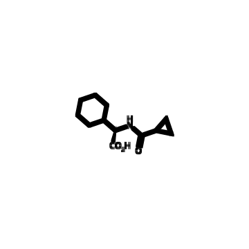 O=C(N[C@@H](C(=O)O)C1CCCCC1)C1CC1